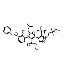 CCOC(=O)C1=C(c2cnn(CCC(C)(C)O)c2C(F)(F)F)OC(CC(C)C)N1c1cccc(OCc2ccccc2)c1Cl